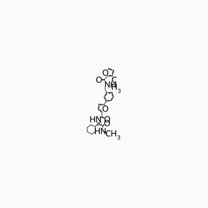 CNC(=O)[C@@H](NC(=O)c1ccc(-c2cccc(CNC(=O)c3occc3C)c2)o1)C1CCCCC1